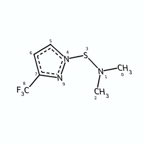 CN(C)Sn1ccc(C(F)(F)F)n1